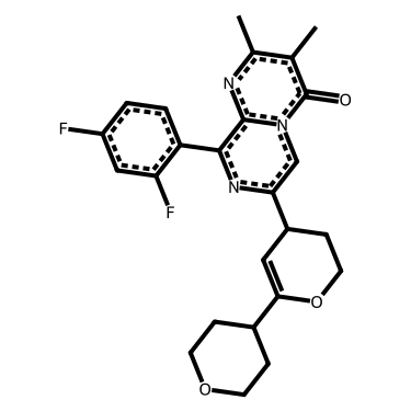 Cc1nc2c(-c3ccc(F)cc3F)nc(C3C=C(C4CCOCC4)OCC3)cn2c(=O)c1C